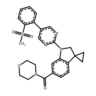 CS(=O)(=O)c1ccccc1-c1cnc(N2CC3(CC3)c3ccc(C(=O)N4CCOCC4)cc32)nc1